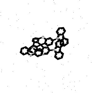 c1ccc2c(c1)Sc1ccccc1N2c1cccc2c1C1(c3ccc(-n4c5ccccc5c5ccccc54)cc3O2)c2cccnc2-c2ncc(-n3c4ccccc4c4ccccc43)cc21